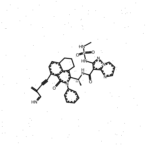 C=C(C#Cc1ccc2c3c(c([C@H](C)NC(=O)c4c(NS(=O)(=O)NC)nn5cccnc45)n(-c4ccccc4)c(=O)c13)CCC2)C=N